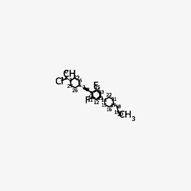 C=C(Cl)[C@H]1CC[C@H](C#Cc2c(F)cc([C@H]3CC[C@H](CCC)CC3)cc2F)CC1